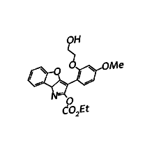 CCOC(=O)OC1=NC2C(=C1c1ccc(OC)cc1OCCO)Oc1ccccc12